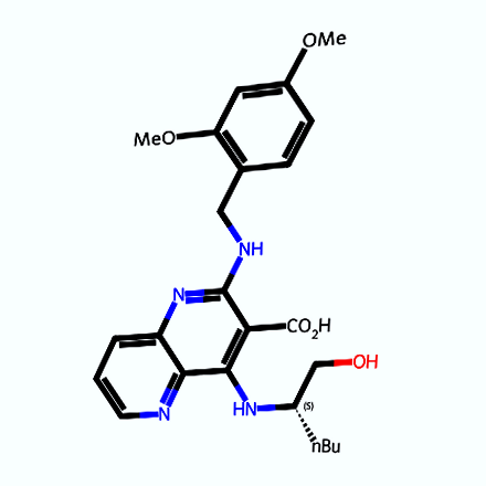 CCCC[C@@H](CO)Nc1c(C(=O)O)c(NCc2ccc(OC)cc2OC)nc2cccnc12